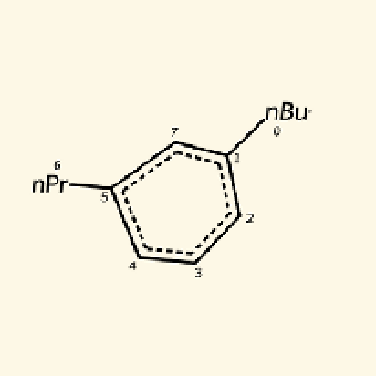 CCC[CH]c1cccc(CCC)c1